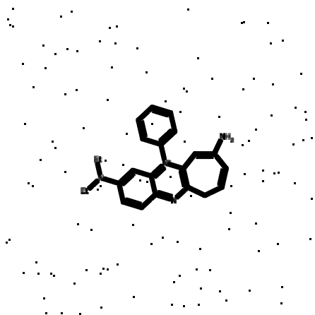 CCN(CC)c1ccc2nc3c([n+](-c4ccccc4)c2c1)C=C(N)C=CC3